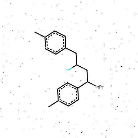 CCCC(CC(F)Cc1ccc(C)cc1)c1ccc(C)cc1